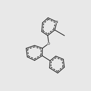 Cc1ncccc1Oc1ccccc1-c1ccccc1